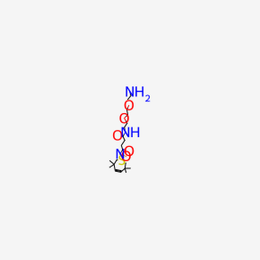 CC1(C)C#CC(C)(C)CS(=O)(=NC(=O)CCC(=O)NCCOCCOCCN)C1